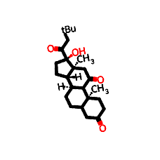 CC(C)(C)CC(=O)[C@@]1(O)CC[C@H]2[C@@H]3CCC4CC(=O)CC[C@]4(C)C3C(=O)C[C@@]21C